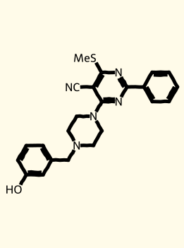 CSc1nc(-c2ccccc2)nc(N2CCN(Cc3cccc(O)c3)CC2)c1C#N